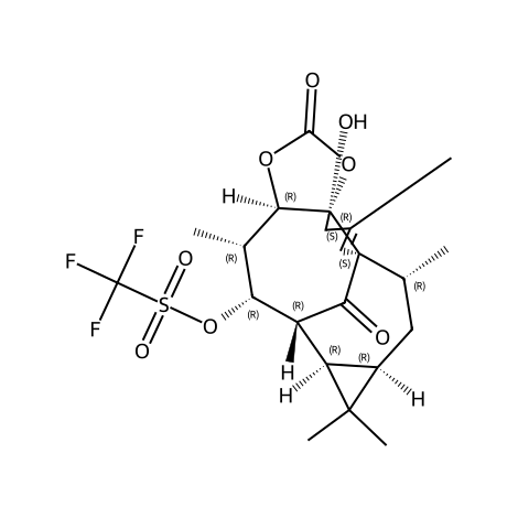 CC1=C[C@]23C(=O)[C@@H]([C@H](OS(=O)(=O)C(F)(F)F)[C@H](C)[C@H]4OC(=O)O[C@]42[C@H]1O)[C@H]1[C@@H](C[C@H]3C)C1(C)C